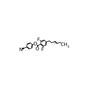 CC/C=C/CCc1cc(F)c(C(=O)Oc2ccc(C#N)cc2)c(F)c1